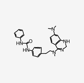 CN(CCc1ccc(NC(=O)Nc2ccccc2)cc1)C1=NCNc2cc(N(C)C)ccc21